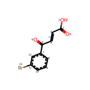 O=C(O)/C=C/C(=O)c1cccc(Br)c1